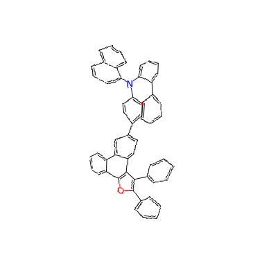 c1ccc(-c2ccccc2N(c2ccc(-c3ccc4c(c3)c3ccccc3c3oc(-c5ccccc5)c(-c5ccccc5)c43)cc2)c2cccc3ccccc23)cc1